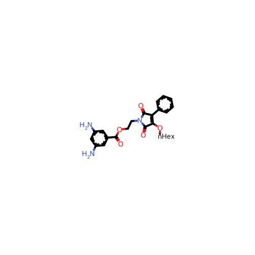 CCCCCCOC1=C(c2ccccc2)C(=O)N(CCOC(=O)c2cc(N)cc(N)c2)C1=O